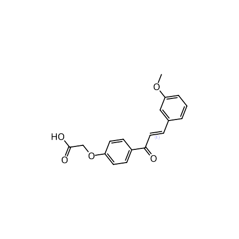 COc1cccc(/C=C/C(=O)c2ccc(OCC(=O)O)cc2)c1